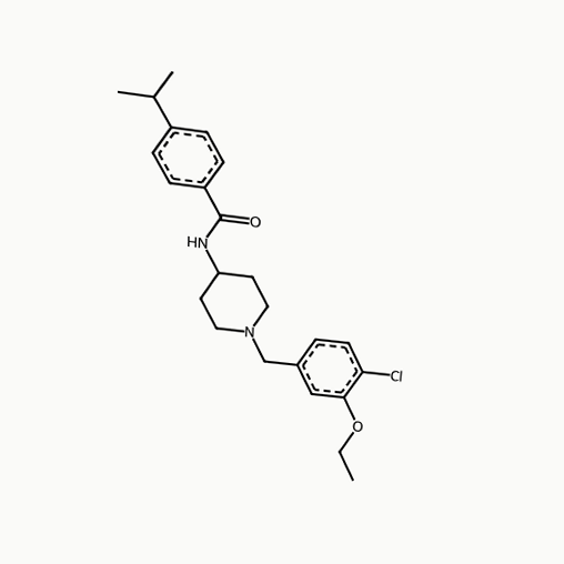 CCOc1cc(CN2CCC(NC(=O)c3ccc(C(C)C)cc3)CC2)ccc1Cl